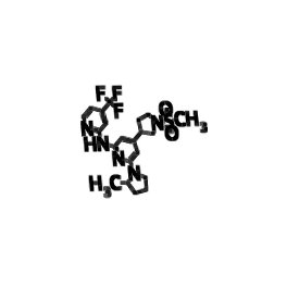 CC1CCCN1c1cc(C2CCN(S(C)(=O)=O)C2)cc(Nc2cc(C(F)(F)F)ccn2)n1